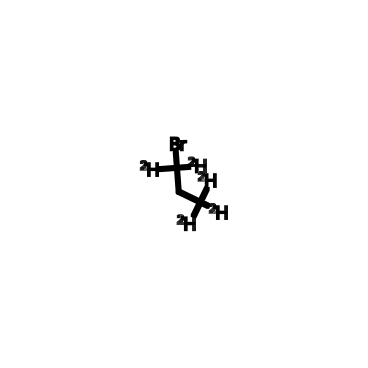 [2H]C([2H])([2H])CC([2H])([2H])Br